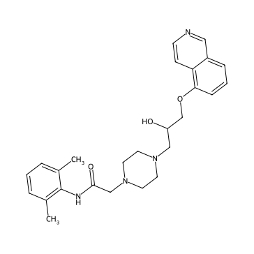 Cc1cccc(C)c1NC(=O)CN1CCN(CC(O)COc2cccc3cnccc23)CC1